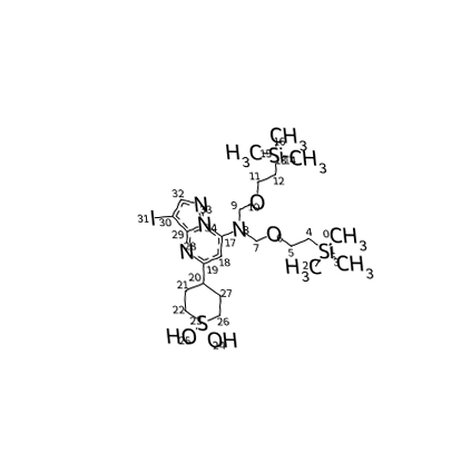 C[Si](C)(C)CCOCN(COCC[Si](C)(C)C)c1cc(C2CCS(O)(O)CC2)nc2c(I)cnn12